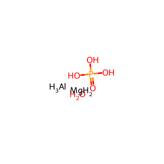 O.O=P(O)(O)O.[AlH3].[MgH2]